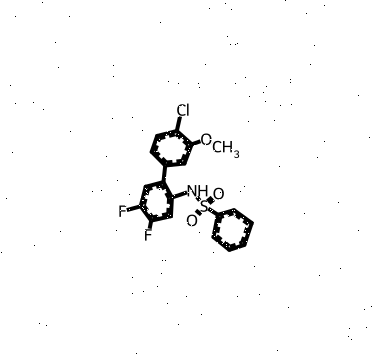 COc1cc(-c2cc(F)c(F)cc2NS(=O)(=O)c2ccccc2)ccc1Cl